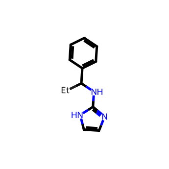 CCC(Nc1ncc[nH]1)c1ccccc1